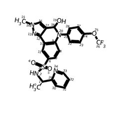 C[C@H](NS(=O)(=O)c1ccc2c(c1)-c1nn(C)cc1C(O)N2c1ccc(OC(F)(F)F)cc1)c1ccccn1